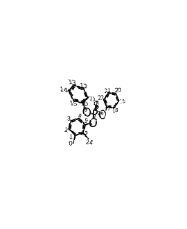 Cc1cccc(OP(=S)(Oc2ccccc2)Oc2ccccc2)c1C